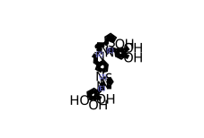 Cc1cs/c(=N\C2CCCC(CC(C)/N=c3\scc(-c4cccs4)n3/N=C/c3ccc(O)c(O)c3O)C2)n1/N=C/c1ccc(O)c(O)c1O